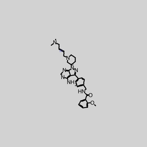 COc1ccccc1C(=O)NCc1ccc(-c2nn([C@@H]3CCCN(C/C=C/CN(C)C)C3)c3ncnc(N)c23)cc1